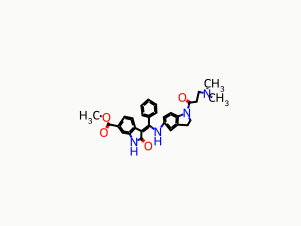 COC(=O)c1ccc2c(c1)NC(=O)/C2=C(\Nc1ccc2c(c1)CCN2C(=O)CCN(C)C)c1ccccc1